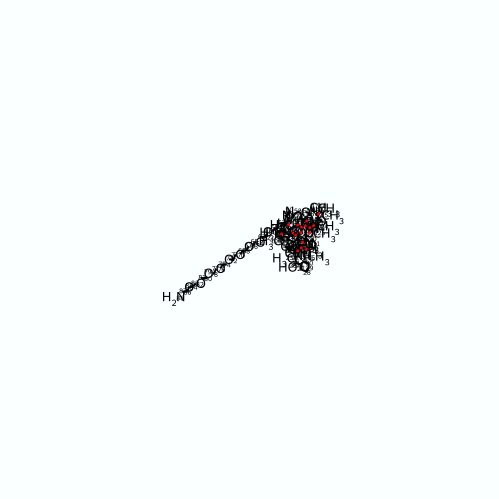 CC[C@@H](C)[C@H]([C@H](CC(=O)N1CCCC1[C@@H](OC)[C@H](C)C(=O)N[C@@H](C)[C@H](O)c1ccccc1)OC)N(C)C(=O)[C@H](NC(=O)[C@@H](C(C)C)N(C)C(=O)OC(Cc1cn(CCOCCOCCOCCOCCOCCOCCOCCOCCOCCOCCN)nn1)c1ccc(O[C@@H]2OC(C(=O)OC)[C@@H](OC(C)=O)C(OC(C)=O)C2OC(C)=O)c([N+](=O)[O-])c1)C(C)C